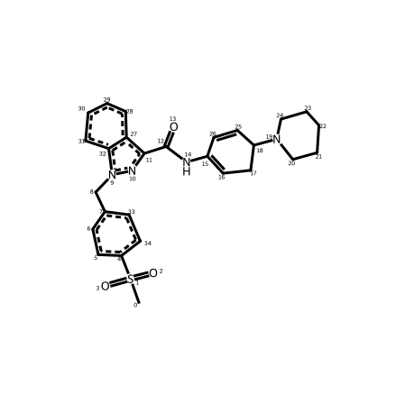 CS(=O)(=O)c1ccc(Cn2nc(C(=O)NC3=CCC(N4CCCCC4)C=C3)c3ccccc32)cc1